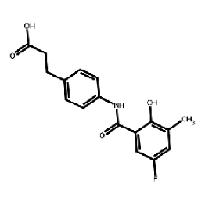 Cc1cc(F)cc(C(=O)Nc2ccc(CCC(=O)O)cc2)c1O